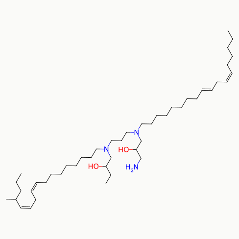 CCCCC/C=C\C/C=C/CCCCCCCCN(CCCN(CCCCCCCC/C=C\C/C=C\C(C)CCC)CC(O)CC)CC(O)CN